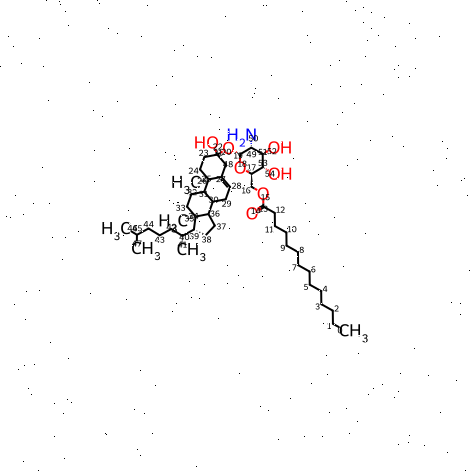 CCCCCCCCCCCCCC(=O)OC[C@H]1O[C@H](OC2(O)CC[C@@]3(C)C(=CCC4C3CC[C@@]3(C)C4CC[C@@H]3[C@H](C)CCCC(C)C)C2)[C@H](N)[C@@H](O)[C@@H]1O